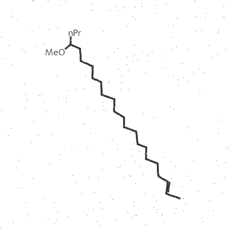 [CH2]C=CCCCCCCCCCCCCCCCCC(CCC)OC